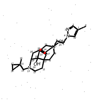 Cc1cnn(CCN2CCC34CCN(CC5(C)CC5)C(Cc5ccc(O)cc53)C4(O)CC2)c1